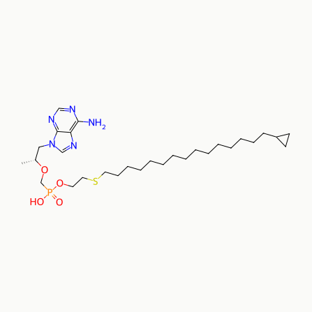 C[C@H](Cn1cnc2c(N)ncnc21)OCP(=O)(O)OCCSCCCCCCCCCCCCCCCC1CC1